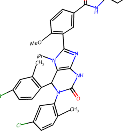 COc1ccc(C(=O)NCCO)cc1-c1nc2c(n1C(C)C)C(c1ccc(Cl)cc1C)N(c1cc(Cl)ccc1C)C(=O)N2